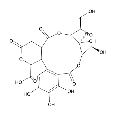 O=C1CC2C(=O)OC3[C@@H](O)C(OC(=O)c4c(cc(O)c(O)c4O)C2C(C(=O)O)O1)[C@H](O)O[C@@H]3CO